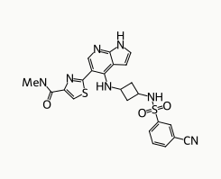 CNC(=O)c1csc(-c2cnc3[nH]ccc3c2NC2CC(NS(=O)(=O)c3cccc(C#N)c3)C2)n1